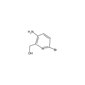 Nc1ccc(Br)nc1CO